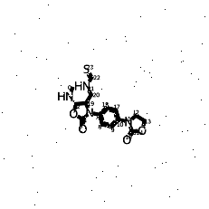 CN[C@H]1OC(=O)N(c2ccc(N3CCOC3=O)cc2)C1CNC=S